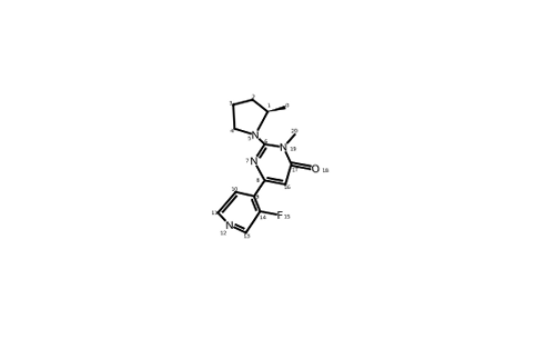 C[C@@H]1CCCN1c1nc(-c2ccncc2F)cc(=O)n1C